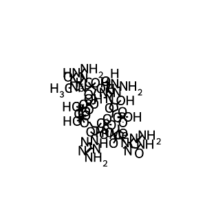 COC1C(OP([O-])(=S)OCC2OC(n3cnc4c(=O)[nH]c(N)nc43)C(O)C2OP(=O)(O)OCC2OC(n3cnc4c(=O)[nH]c(N)nc43)C(O)C2O)C(COP(=O)(O)OP(=O)(O)OP(=O)(O)OCC2OC(n3c[n+](C)c4c(=O)[nH]c(N)nc43)C(C)(O)C2O)OC1n1cnc2c(N)ncnc21